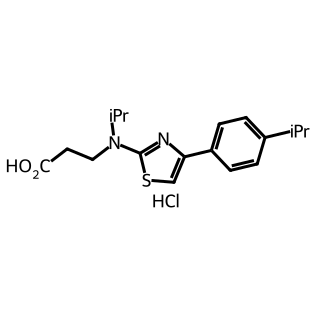 CC(C)c1ccc(-c2csc(N(CCC(=O)O)C(C)C)n2)cc1.Cl